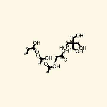 CC(=O)O.CC(=O)O.CCC(=O)O.CCC(=O)O.OCC(CO)(CO)CO